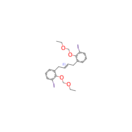 CCOCOc1c(I)cccc1C/C=C/Cc1cccc(I)c1OCOCC